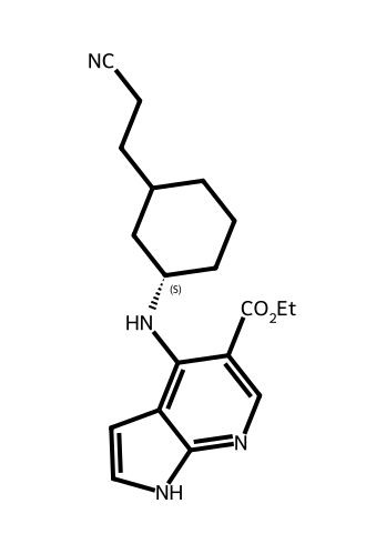 CCOC(=O)c1cnc2[nH]ccc2c1N[C@H]1CCCC(CCC#N)C1